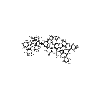 C1=CC23CC=Cc4c2n(c2ccc(-n5c6ccccc6c6c(S(c7ccccc7)(c7ccccc7)c7ccccc7)cccc65)cc42)-c2c(cc(S(c4ccccc4)(c4ccccc4)c4cc(-c5ccccc5)cc(-c5ccccc5)c4)cc2-c2ccccc2)C3=C1